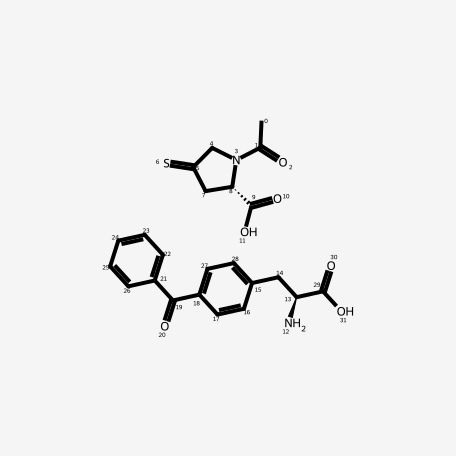 CC(=O)N1CC(=S)C[C@H]1C(=O)O.N[C@@H](Cc1ccc(C(=O)c2ccccc2)cc1)C(=O)O